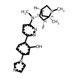 CN(c1ccc(-c2ccc(-n3ccnc3)cc2O)nn1)[C@@H]1[C@H]2CN(C)[C@](C)(C2)[C@@H]1F